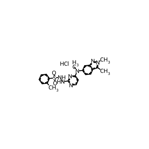 Cc1ccccc1S(=O)(=O)NNc1nccc(N(C)c2ccc3c(C)n(C)nc3c2)n1.Cl